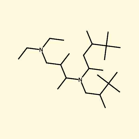 CCN(CC)CC(C)C(C)N(CC(C)C(C)(C)C)C(C)CC(C)C(C)(C)C